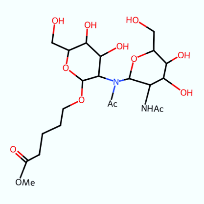 COC(=O)CCCCOC1OC(CO)C(O)C(O)C1N(C(C)=O)C1OC(CO)C(O)C(O)C1NC(C)=O